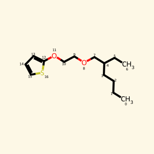 CCCCC(CC)COCCOc1cccs1